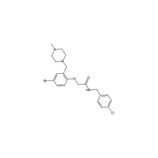 CN1CCN(Cc2cc(Br)ccc2OCC(=O)NCc2ccc(Cl)cc2)CC1